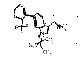 CC(C)(C)Cn1cc(CN)c2ccc(-c3cccnc3C(F)(F)F)cc21